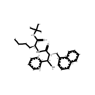 CCCC[C@H](NC(=O)[C@H](Cc1cccc2ccccc12)C(S)c1ncccn1)C(=O)OC(C)(C)C